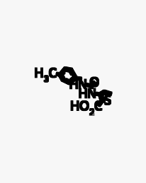 Cc1ccc(CNC(=O)Nc2ccsc2C(=O)O)cc1